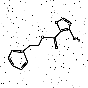 Nc1ccoc1C(=O)OCCc1ccccc1